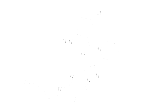 C#CC1CCN(c2nc3cc(C4CCCCN4C(=O)c4cc(Cl)ccc4N)nn3cc2C)C1